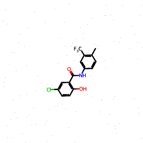 Cc1ccc(NC(=O)c2cc(Cl)ccc2O)cc1C(F)(F)F